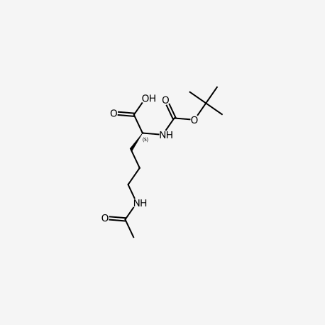 CC(=O)NCCC[C@H](NC(=O)OC(C)(C)C)C(=O)O